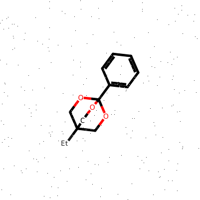 CCC12COC(c3ccccc3)(OC1)OC2